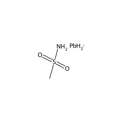 CS(N)(=O)=O.[PbH2]